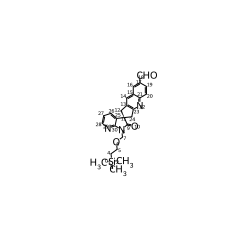 C[Si](C)(C)CCOCN1C(=O)[C@]2(Cc3cc4cc(C=O)ccc4nc3C2)c2cccnc21